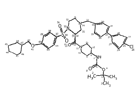 CC(C)(C)OC(=O)NC1CCN(C(=O)[C@@H]2CN(Cc3ccc(-c4ccc(Cl)cc4)cc3)CCN2S(=O)(=O)c2ccc(OCC3CCCCC3)cc2)CC1